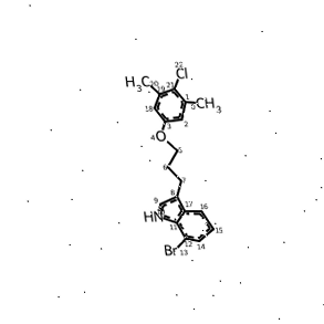 Cc1cc(OCCCc2c[nH]c3c(Br)cccc23)cc(C)c1Cl